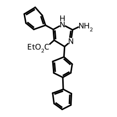 CCOC(=O)C1=C(c2ccccc2)NC(N)=NC1c1ccc(-c2ccccc2)cc1